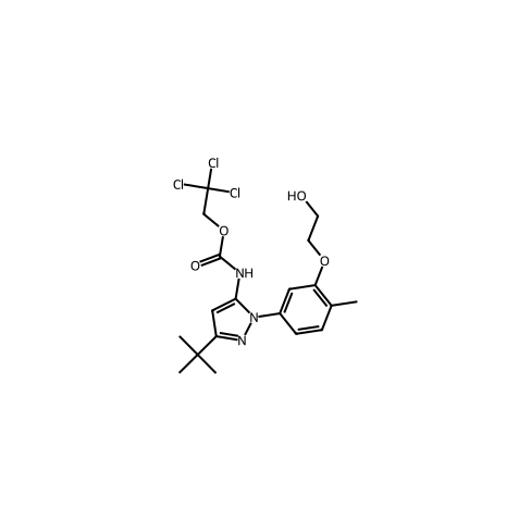 Cc1ccc(-n2nc(C(C)(C)C)cc2NC(=O)OCC(Cl)(Cl)Cl)cc1OCCO